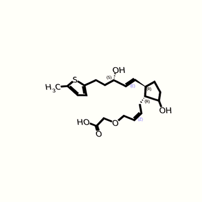 Cc1ccc(CC[C@H](O)/C=C/[C@H]2CCC(O)[C@@H]2C/C=C\COCC(=O)O)s1